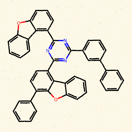 c1ccc(-c2cccc(-c3nc(-c4cccc5oc6ccccc6c45)nc(-c4ccc(-c5ccccc5)c5oc6ccccc6c45)n3)c2)cc1